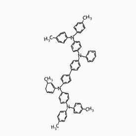 Cc1ccc(N(c2ccc(C)cc2)c2ccc(N(C3=CC(C)CC=C3)c3ccc(-c4ccc(N(c5ccccc5)c5ccc(N(c6ccc(C)cc6)c6ccc(C)cc6)cc5)cc4)cc3)cc2)cc1